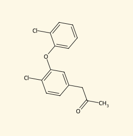 CC(=O)Cc1ccc(Cl)c(Oc2ccccc2Cl)c1